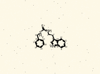 S=C(NCCc1c[nH]c2ccccc12)[SH2]Cc1ccccc1